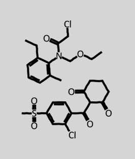 CCOCN(C(=O)CCl)c1c(C)cccc1CC.CS(=O)(=O)c1ccc(C(=O)C2C(=O)CCCC2=O)c(Cl)c1